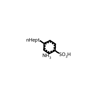 CCCCCCCc1ccc(S(=O)(=O)O)cc1.N